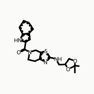 CC1(C)OCC(CNc2nc3c(s2)CN(C(=O)c2cc4ccccc4[nH]2)CC3)O1